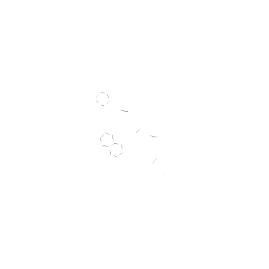 CC(C)=CCC/C(C)=C/CC(CC/C(C)=C(\C)Cc1ccccc1)=C(C)C.c1ccc2ncccc2c1